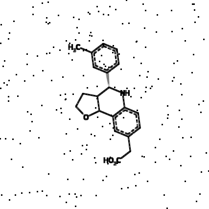 Cc1cccc([C@@H]2Nc3ccc(CC(=O)O)cc3C3OCCC32)c1